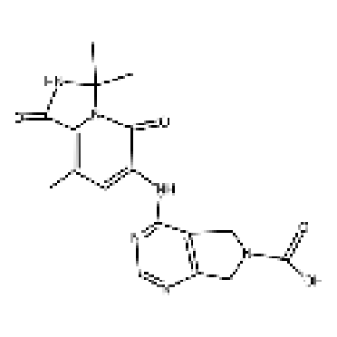 Cc1cc(Nc2ncnc3c2CN(C(=O)O)C3)c(=O)n2c1C(=O)NC2(C)C